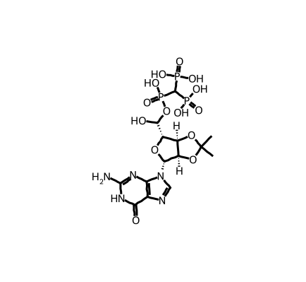 CC1(C)O[C@@H]2[C@H](O1)[C@@H](C(O)OP(=O)(O)C(P(=O)(O)O)P(=O)(O)O)O[C@H]2n1cnc2c(=O)[nH]c(N)nc21